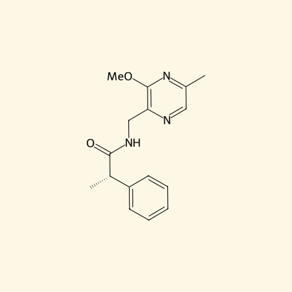 COc1nc(C)cnc1CNC(=O)[C@@H](C)c1ccccc1